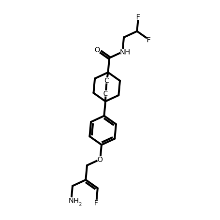 NCC(=CF)COc1ccc(C23CCC(C(=O)NCC(F)F)(CC2)CC3)cc1